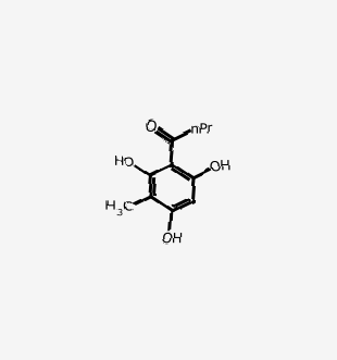 CCCC(=O)c1c(O)cc(O)c(C)c1O